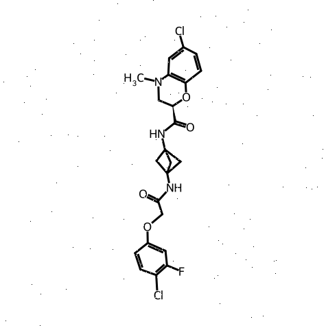 CN1C[C@H](C(=O)NC23CC(NC(=O)COc4ccc(Cl)c(F)c4)(C2)C3)Oc2ccc(Cl)cc21